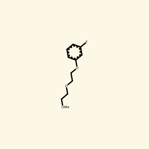 COCCOCCOc1cccc(F)c1